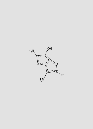 Nc1oc2c(N)[n+]([O-])oc2c1O